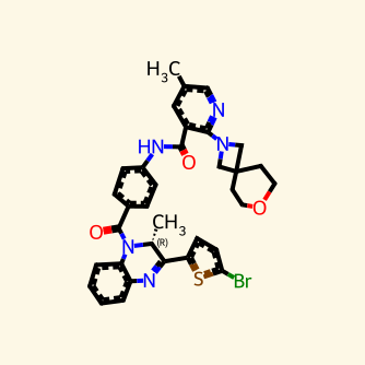 Cc1cnc(N2CC3(CCOCC3)C2)c(C(=O)Nc2ccc(C(=O)N3c4ccccc4N=C(c4ccc(Br)s4)[C@H]3C)cc2)c1